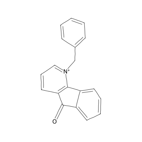 O=C1c2ccccc2-c2c1ccc[n+]2Cc1ccccc1